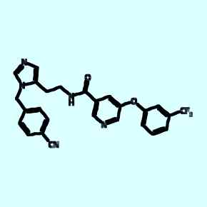 N#Cc1ccc(Cn2cncc2CCNC(=O)c2cncc(Oc3cccc(C(F)(F)F)c3)c2)cc1